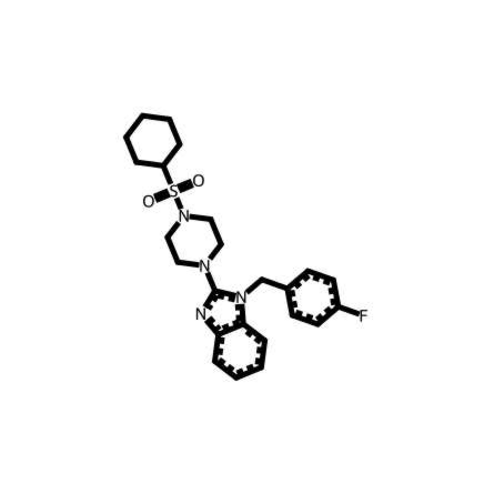 O=S(=O)(C1CCCCC1)N1CCN(c2nc3ccccc3n2Cc2ccc(F)cc2)CC1